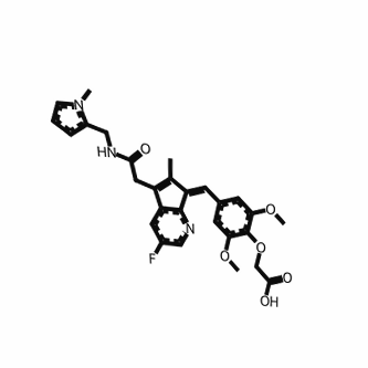 COc1cc(/C=C2/C(C)=C(CC(=O)NCc3cccn3C)c3cc(F)cnc32)cc(OC)c1OCC(=O)O